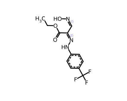 CCOC(=O)C(/C=N\O)=N\Nc1ccc(C(F)(F)F)cc1